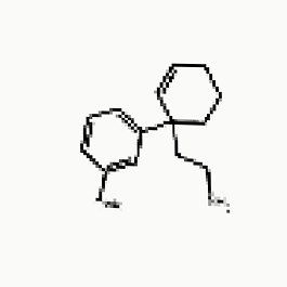 COc1cccc(C2(CCN)C=CCCC2)c1